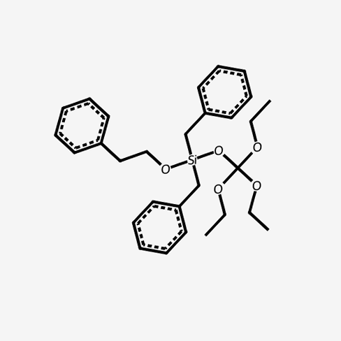 CCOC(OCC)(OCC)O[Si](Cc1ccccc1)(Cc1ccccc1)OCCc1ccccc1